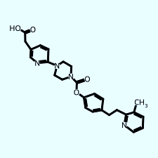 Cc1cccnc1CCc1ccc(OC(=O)N2CCN(c3ccc(CC(=O)O)cn3)CC2)cc1